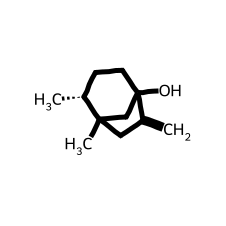 C=C1CC2(C)CC1(O)CC[C@H]2C